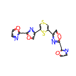 C1=C(c2coc(-c3ncco3)n2)SC(c2coc(-c3ncco3)n2)=CS1